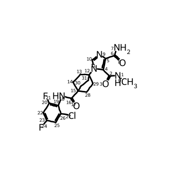 CNC(=O)c1c(C(N)=O)ncn1C12CCC(C(=O)Nc3c(F)cc(F)cc3Cl)(CC1)CC2